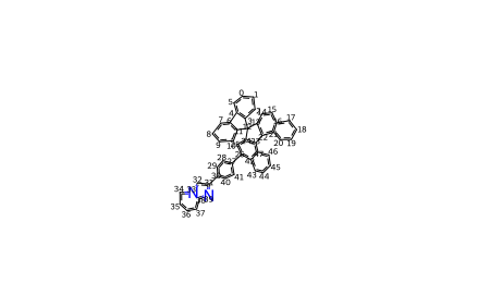 c1ccc2c(c1)-c1ccccc1C21c2ccc3ccccc3c2-c2c1cc(-c1ccc(-c3cn4ccccc4n3)cc1)c1ccccc21